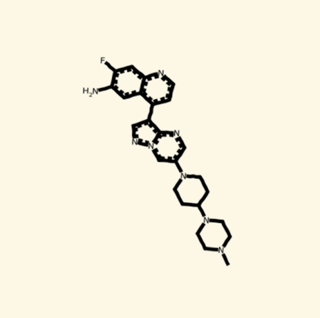 CN1CCN(C2CCN(c3cnc4c(-c5ccnc6cc(F)c(N)cc56)cnn4c3)CC2)CC1